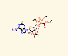 CCOC(=O)C(OC[C@H]1O[C@@H](n2cnc3c(N)nc(C)nc32)[C@@H]2OC(C)(C)O[C@@H]21)P(=O)(OCC)OCC